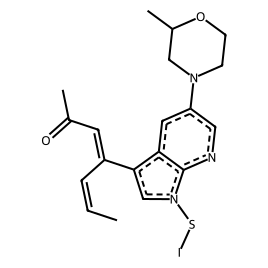 C/C=C\C(=C/C(C)=O)c1cn(SI)c2ncc(N3CCOC(C)C3)cc12